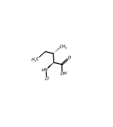 CC[C@H](C)[C@H](NCl)C(=O)O